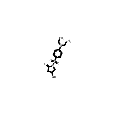 CCN(CC)c1ccc(S(=O)(=O)N2CC(O)CC2=O)cc1